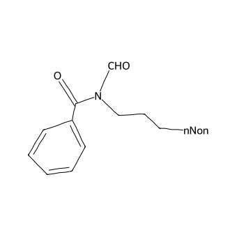 CCCCCCCCCCCCN(C=O)C(=O)c1ccccc1